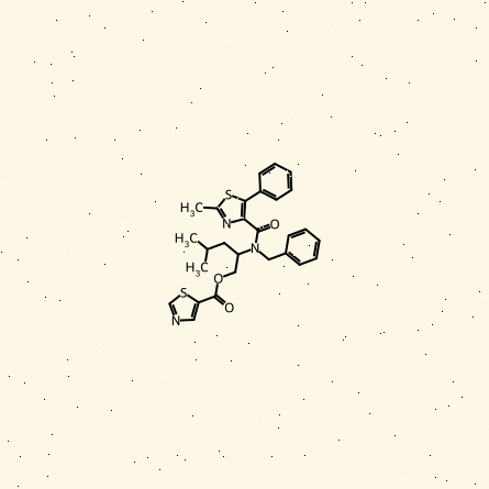 Cc1nc(C(=O)N(Cc2ccccc2)C(COC(=O)c2cncs2)CC(C)C)c(-c2ccccc2)s1